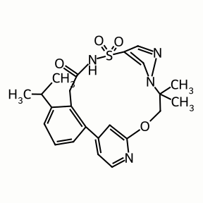 CC(C)c1cccc2c1CC(=O)NS(=O)(=O)c1cnn(c1)C(C)(C)COc1cc-2ccn1